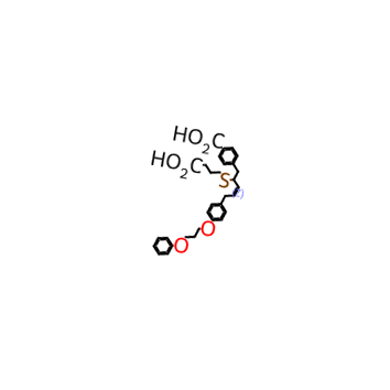 O=C(O)CCCSC(/C=C\Cc1ccc(OCCCOc2ccccc2)cc1)Cc1ccc(C(=O)O)cc1